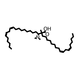 CCCCC/C=C\C/C=C\CCCCCCCCC(N(C)C)C(C)(CCCCCCCC/C=C\C/C=C\CCCCC)C(=O)O